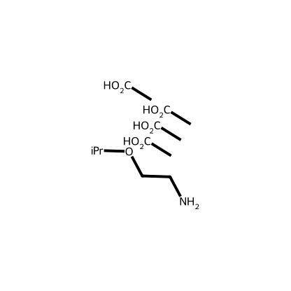 CC(=O)O.CC(=O)O.CC(=O)O.CC(=O)O.CC(C)OCCN